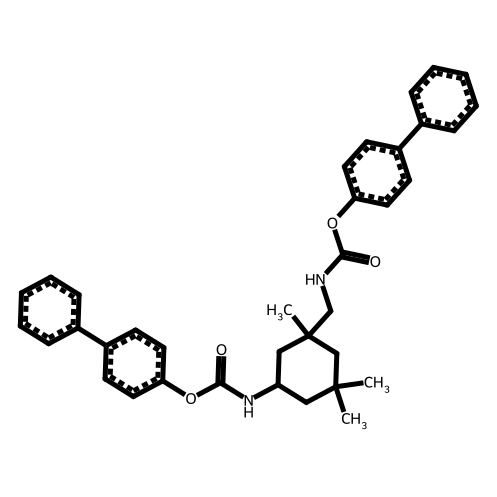 CC1(C)CC(NC(=O)Oc2ccc(-c3ccccc3)cc2)CC(C)(CNC(=O)Oc2ccc(-c3ccccc3)cc2)C1